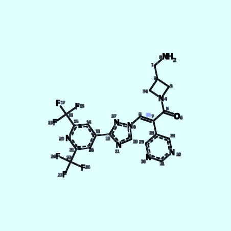 NCC1CN(C(=O)/C(=C/n2cnc(-c3cc(C(F)(F)F)nc(C(F)(F)F)c3)n2)c2cncnc2)C1